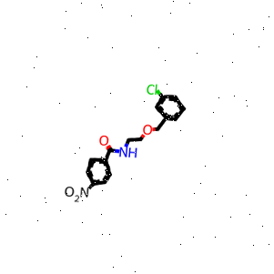 O=C(NCCOCc1cccc(Cl)c1)c1ccc([N+](=O)[O-])cc1